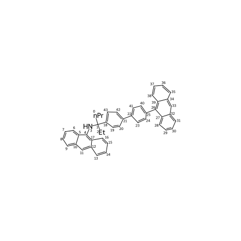 CCCC(CC)(Nc1c2ccccc2cc2ccccc12)c1ccc(-c2ccc(-c3c4ccccc4cc4ccccc34)cc2)cc1